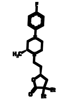 CCC1(CC)C[C@H](CCN2CCN(c3ccc(F)cc3)C[C@H]2C)OC1=O